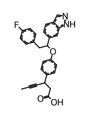 CC#CC(CC(=O)O)c1ccc(OC(Cc2ccc(F)cc2)c2ccc3cn[nH]c3c2)cc1